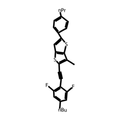 CCCCc1cc(F)c(C#Cc2sc3cc(-c4ccc(CCC)cc4)sc3c2C)c(F)c1